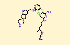 C/N=C\C=C/C(C)CCCNc1cnc(Sc2ccnc(NCc3cnc4c(c3)CC3(CCNCC3)C4)c2Cl)c(N)n1